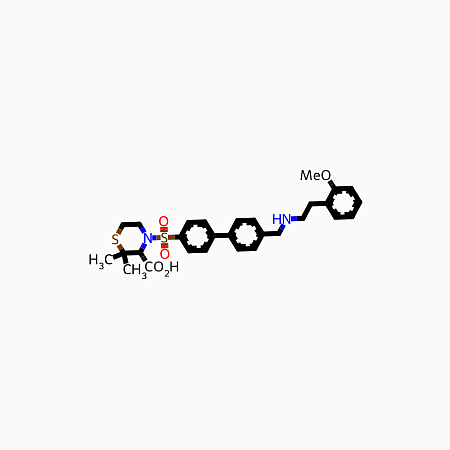 COc1ccccc1CCNCc1ccc(-c2ccc(S(=O)(=O)N3CCSC(C)(C)C3C(=O)O)cc2)cc1